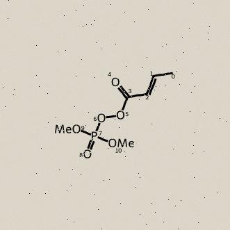 CC=CC(=O)OOP(=O)(OC)OC